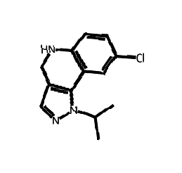 CC(C)n1ncc2c1-c1cc(Cl)ccc1NC2